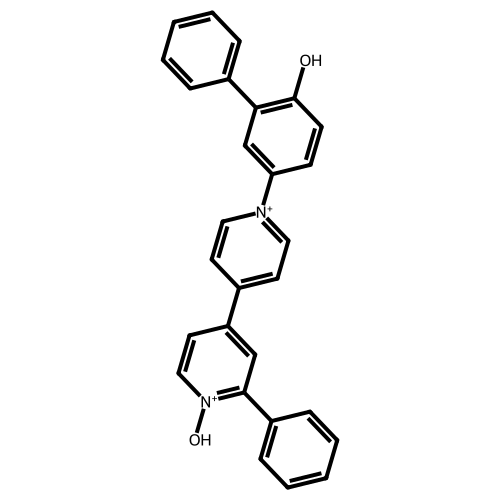 Oc1ccc(-[n+]2ccc(-c3cc[n+](O)c(-c4ccccc4)c3)cc2)cc1-c1ccccc1